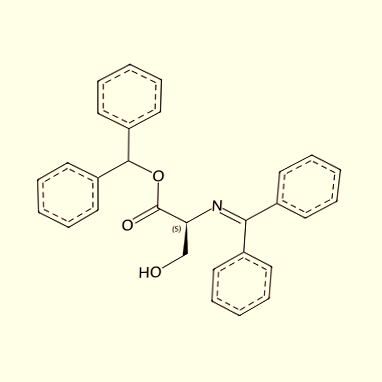 O=C(OC(c1ccccc1)c1ccccc1)[C@H](CO)N=C(c1ccccc1)c1ccccc1